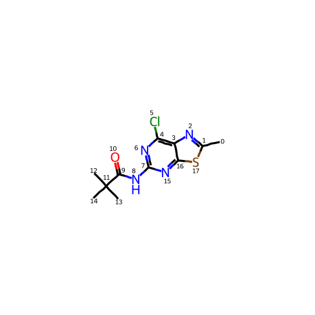 Cc1nc2c(Cl)nc(NC(=O)C(C)(C)C)nc2s1